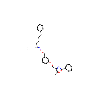 CCOC(=O)C(CCCCc1ccccc1)=NOCc1cccc(OCc2nc(-c3ccccc3)oc2C)c1